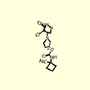 N#CC1(NC(=O)O[C@@H]2CCN(c3cn[nH]c(=O)c3Cl)C2)CCC1